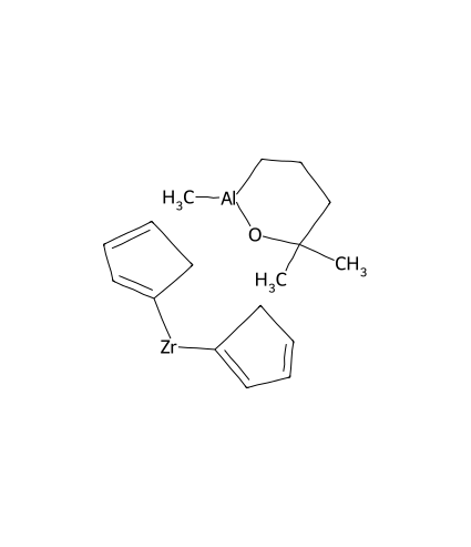 C1=CC[C]([Zr][C]2=CC=CC2)=C1.[CH3][Al]1[CH2]CCC(C)(C)[O]1